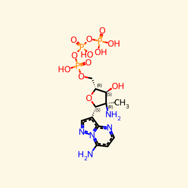 C[C@@]1(N)[C@H](O)[C@@H](COP(=O)(O)OP(=O)(O)OP(=O)(O)O)O[C@H]1c1cnn2c(N)ccnc12